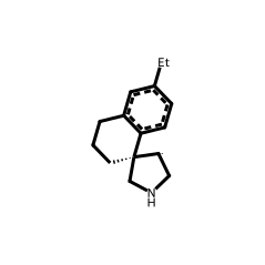 CCc1ccc2c(c1)CCC[C@@]21[CH]CNC1